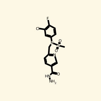 CS(=O)(=O)N(Cc1ccc(C(=O)NN)cn1)c1ccc(F)c(Cl)c1